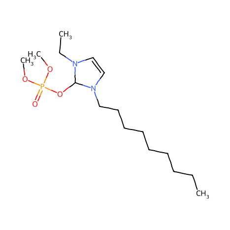 CCCCCCCCCN1C=CN(CC)C1OP(=O)(OC)OC